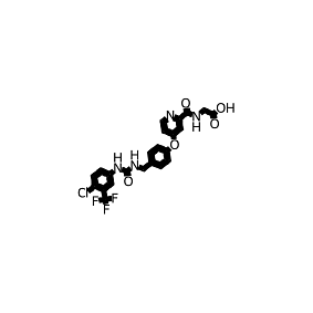 O=C(O)CNC(=O)c1cc(Oc2ccc(CNC(=O)Nc3ccc(Cl)c(C(F)(F)F)c3)cc2)ccn1